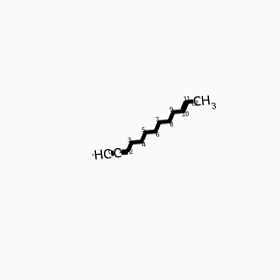 [CH]=C=CCCCCCCCC=CC